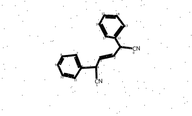 N#CC(C=CC(C#N)c1ccccc1)c1ccccc1